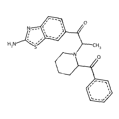 CC(C(=O)c1ccc2nc(N)sc2c1)N1CCCCC1C(=O)c1ccccc1